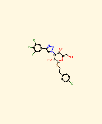 OC[C@H]1O[C@H](SCCc2ccc(Cl)cc2)[C@H](O)[C@@H](n2cc(-c3cc(F)c(F)c(F)c3)nn2)[C@H]1O